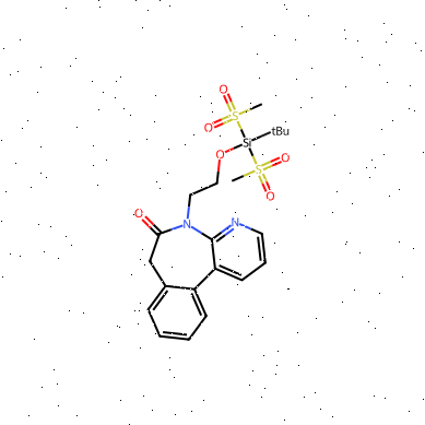 CC(C)(C)[Si](OCCN1C(=O)Cc2ccccc2-c2cccnc21)(S(C)(=O)=O)S(C)(=O)=O